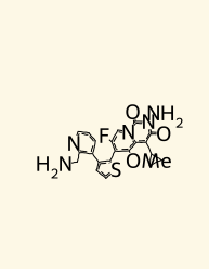 COc1c(-c2sccc2-c2cccnc2CN)c(F)cn2c(=O)n(N)c(=O)c(C3CC3)c12